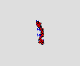 CC1=CC2=Nc3cc(C)c(N(C)C)cc3N(c3ccccc3)C2C=C1N(C)CCCCCCNC(=O)c1ccc(-c2ccc(C(=O)NCCCCCCN(C)c3cc4c(cc3C)nc3cc(C)c(N(C)C)cc3[n+]4-c3ccccc3)cc2)cc1